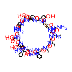 CCCC[C@H]1C(=O)N(C)[C@@H](CCCC)C(=O)N[C@@H](CCCCN(C)C)C(=O)N[C@H](C(=O)NCC(N)=O)CSCC(=O)N[C@@H](Cc2ccc(O)cc2)C(=O)N2CCCC[C@H]2C(=O)N[C@@H](CC(=O)O)C(=O)N2CCC[C@H]2C(=O)N[C@@H](CN)C(=O)N[C@@H](CCC(=O)O)C(=O)N2C[C@H](O)C[C@H]2C(=O)N[C@@H](Cc2c[nH]c3ccccc23)C(=O)N[C@@H](CO)C(=O)N[C@@H](Cc2c[nH]c3ccccc23)C(=O)N1C